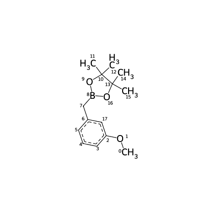 COc1cccc(CB2OC(C)(C)C(C)(C)O2)c1